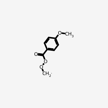 [CH2]OOC(=O)c1ccc(OC)cc1